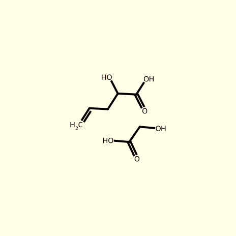 C=CCC(O)C(=O)O.O=C(O)CO